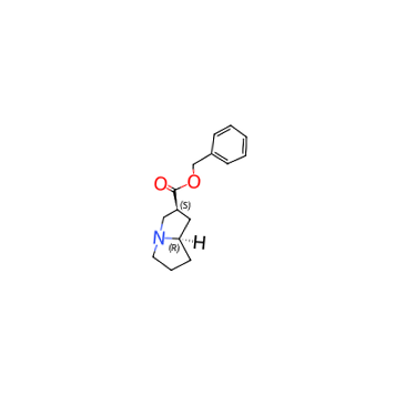 O=C(OCc1ccccc1)[C@H]1C[C@H]2CCCN2C1